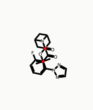 CC(C)(C)OC(=O)N1C2CC1CN(C(=O)c1c(F)cccc1-n1nccn1)C2